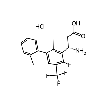 Cc1ccccc1-c1cc(C(F)(F)F)c(F)c([C@@H](N)CC(=O)O)c1C.Cl